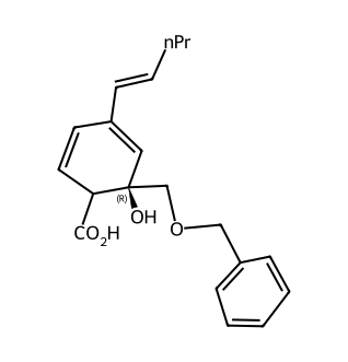 CCCC=CC1=C[C@](O)(COCc2ccccc2)C(C(=O)O)C=C1